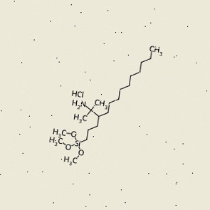 CCCCCCCCCCC(CCC[Si](OC)(OC)OC)C(C)(C)N.Cl